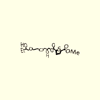 CCC(O)COCCOCC(O)COC(=O)c1ccc(C(=O)OC)s1